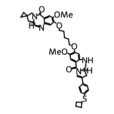 COc1cc2c(cc1OCCCCCOc1cc3c(cc1OC)C(=O)N1C=C(c4ccc(SC5CCC5)cc4)C[C@H]1CN3)N=C[C@@H]1CC3(CC3)CN1C2=O